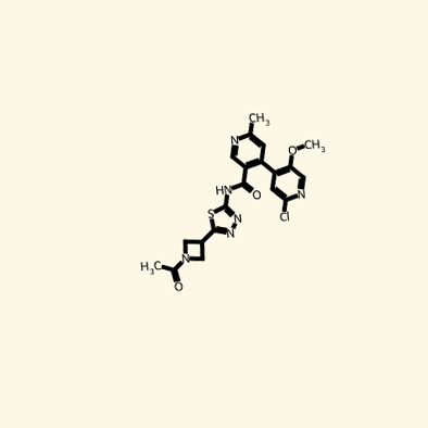 COc1cnc(Cl)cc1-c1cc(C)ncc1C(=O)Nc1nnc(C2CN(C(C)=O)C2)s1